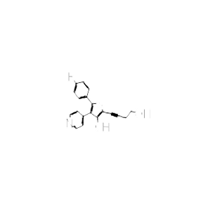 Cc1c(C#CCCO)sc(-c2ccc(F)cc2)c1-c1ccncc1